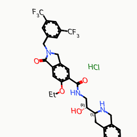 CCOc1cc2c(cc1C(=O)NC[C@@H](O)[C@@H]1Cc3ccccc3CN1)CN(Cc1cc(C(F)(F)F)cc(C(F)(F)F)c1)C2=O.Cl